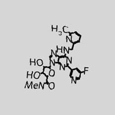 CNC(=O)C1OC(n2cnc3c(NCc4cccc(C)n4)nc(-c4cncc(F)c4)nc32)C(O)C1O